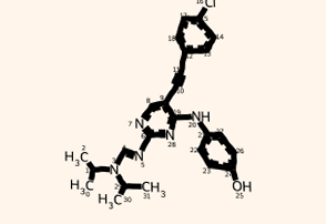 CC(C)N(C=Nc1ncc(C#Cc2ccc(Cl)cc2)c(Nc2ccc(O)cc2)n1)C(C)C